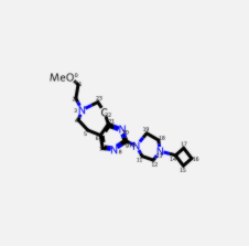 COCCN1CCc2cnc(N3CCN(C4CCC4)CC3)nc2CC1